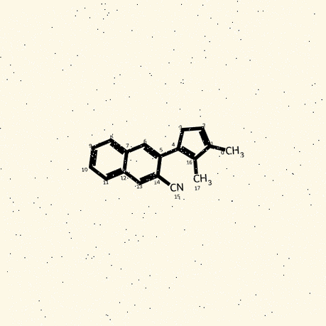 CC1=CCC(c2cc3ccccc3cc2C#N)=C1C